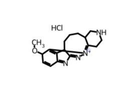 COC1C=CC2=NC3=N/[N+]4=C5/CCNCC5CCCC3C2=C14.Cl